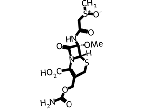 CO[C@@]1(NC(=O)C[S+](C)[O-])C(=O)N2C(C(=O)O)=C(COC(N)=O)CS[C@H]21